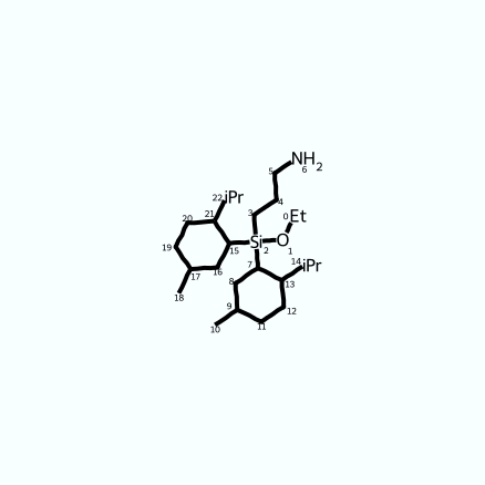 CCO[Si](CCCN)(C1CC(C)CCC1C(C)C)C1CC(C)CCC1C(C)C